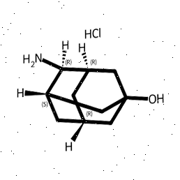 Cl.N[C@H]1[C@@H]2C[C@H]3C[C@H]1CC(O)(C3)C2